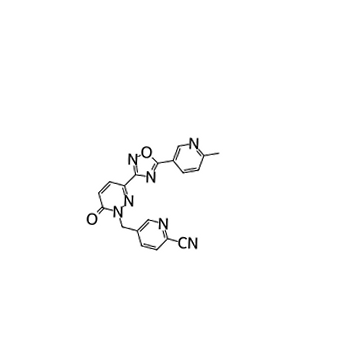 Cc1ccc(-c2nc(-c3ccc(=O)n(Cc4ccc(C#N)nc4)n3)no2)cn1